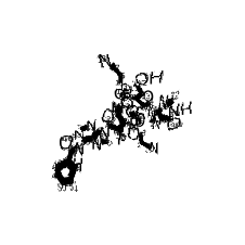 N#CCCOP(=O)(O)[C@@H]1C(COP(=O)(OCCC#N)[C@@H]2C(CO)OC(n3cnc4c(=O)[nH]cnc43)[C@@H]2F)OC(n2cnc3c(NC(=O)c4ccccc4)ncnc32)[C@@H]1F